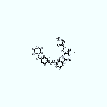 CC(C)(C)OC(=O)CC[C@@H](C(N)=O)N1Cc2c(OCc3ccc(CN4CCOCC4)cc3)cccc2C1=O